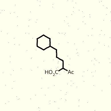 CC(=O)C(CCCC1CCCCC1)C(=O)O